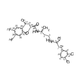 C=C(CCNC(=O)COc1ccc(Cl)c(Cl)c1)NC(=O)[C@@H]1CC(=O)c2cc(F)c(F)cc2O1